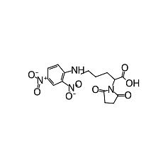 O=C(O)C(CCCCNc1ccc([N+](=O)[O-])cc1[N+](=O)[O-])N1C(=O)CCC1=O